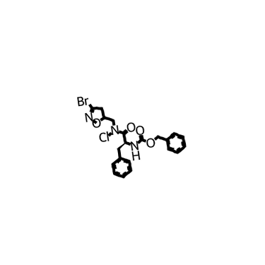 O=C(N[C@@H](Cc1ccccc1)C(=O)N(Cl)CC1CC(Br)=NO1)OCc1ccccc1